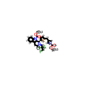 C[C@@H]1Cc2c(n(C(=O)OC(C)(C)C)c3ccccc23)[C@@H](c2ccc(CC3CN(C(=O)OC(C)(C)C)C3)s2)N1CC(F)(F)CF